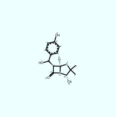 CC1(C)S[C@@H]2[C@H](C(O)c3ccc(O)cc3)C(=O)N2[C@H]1C#N